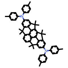 Cc1ccc(N(c2ccc(C)cc2)c2cc3c4c(c2)C(C)(C)c2ccc5c6c7c(c(c-4c26)C3(C)C)C(C)(C)c2cc(N(c3ccc(C)cc3)c3ccc(C)cc3)cc(c2-7)C5(C)C)cc1